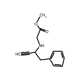 C#CC(Cc1ccccc1)NCC(=O)OC